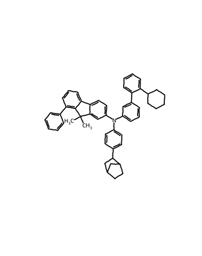 CC1(C)c2cc(N(c3ccc(C4CC5CCC4C5)cc3)c3cccc(-c4ccccc4C4CCCCC4)c3)ccc2-c2cccc(-c3ccccc3)c21